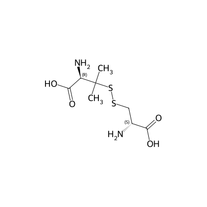 CC(C)(SSC[C@@H](N)C(=O)O)[C@H](N)C(=O)O